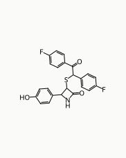 O=C(c1ccc(F)cc1)C(SC1C(=O)NC1c1ccc(O)cc1)c1ccc(F)cc1